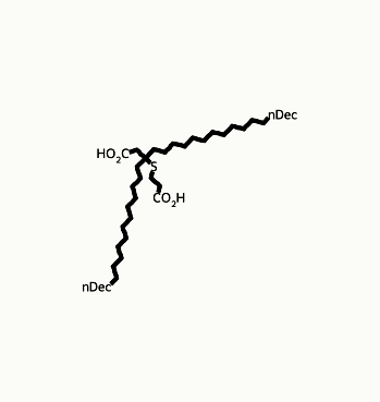 CCCCCCCCCCCCCCCCCCCCCCC(CCCCCCCCCCCCCCCCCCCCCC)(CC(=O)O)SCCC(=O)O